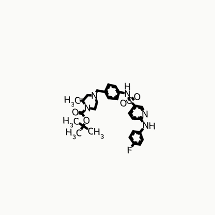 C[C@H]1CN(Cc2ccc(NS(=O)(=O)c3ccc(Nc4ccc(F)cc4)nc3)cc2)CCN1C(=O)OC(C)(C)C